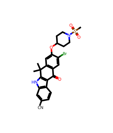 CC1(C)c2cc(OC3CCN(S(C)(=O)=O)CC3)c(Br)cc2C(=O)c2c1[nH]c1cc(C#N)ccc21